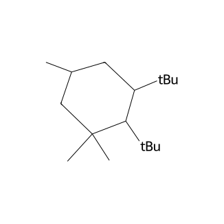 CC1CC(C(C)(C)C)C(C(C)(C)C)C(C)(C)C1